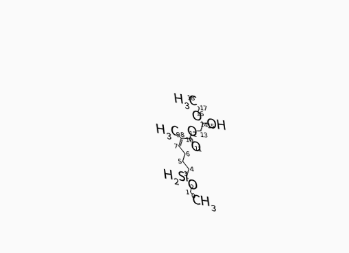 CCO[SiH2]CCCC=C(C)C(=O)OCC(O)OCC